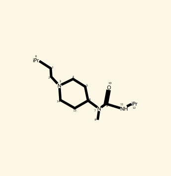 CC(C)CCN1CCC(N(C)C(=O)NC(C)C)CC1